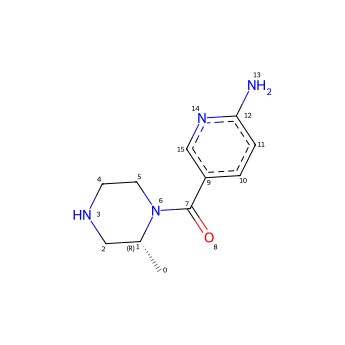 C[C@@H]1CNCCN1C(=O)c1ccc(N)nc1